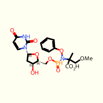 COCC(C)(C(=O)O)N(Oc1ccccc1)[PH](=O)OC[C@H]1O[C@@H](n2ccc(=O)[nH]c2=O)C[C@@H]1O